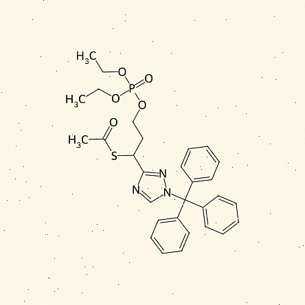 CCOP(=O)(OCC)OCCC(SC(C)=O)c1ncn(C(c2ccccc2)(c2ccccc2)c2ccccc2)n1